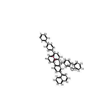 c1ccc(-c2ccc(-c3ccc(N(c4ccc5c(c4)oc4ccccc45)c4cc(-c5cccc6ccccc56)ccc4-c4ccccc4)cc3)cc2)cc1